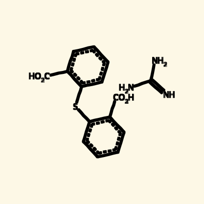 N=C(N)N.O=C(O)c1ccccc1Sc1ccccc1C(=O)O